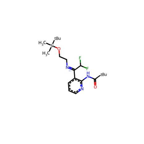 CC(C)(C)C(=O)Nc1ncccc1/C(=N/CCO[Si](C)(C)C(C)(C)C)C(F)F